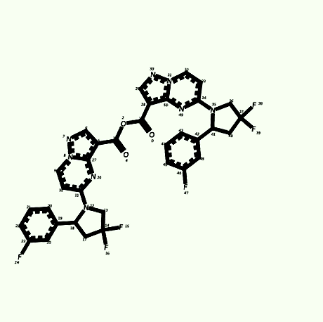 O=C(OC(=O)c1cnn2ccc(N3CC(F)(F)CC3c3cccc(F)c3)nc12)c1cnn2ccc(N3CC(F)(F)CC3c3cccc(F)c3)nc12